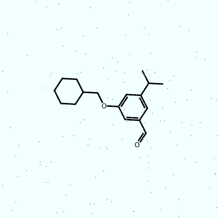 CC(C)c1cc(C=O)cc(OCC2CCCCC2)c1